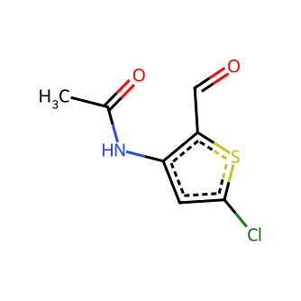 CC(=O)Nc1cc(Cl)sc1C=O